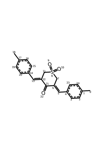 Cc1ccc(C=C2CS(=O)(=O)CC(=Cc3ccc(C)cc3)C2=O)cc1